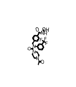 CC(=O)N1CCN(C(=O)N(Cc2ccc(C(=O)NO)cc2)c2cccc(C(F)(F)F)c2)CC1